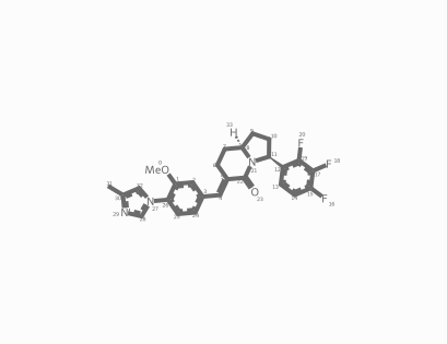 COc1cc(C=C2CC[C@H]3CC[C@@H](c4ccc(F)c(F)c4F)N3C2=O)ccc1-n1cnc(C)c1